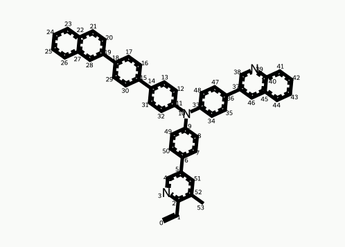 C=Cc1ncc(-c2ccc(N(c3ccc(-c4ccc(-c5ccc6ccccc6c5)cc4)cc3)c3ccc(-c4cnc5ccccc5c4)cc3)cc2)cc1C